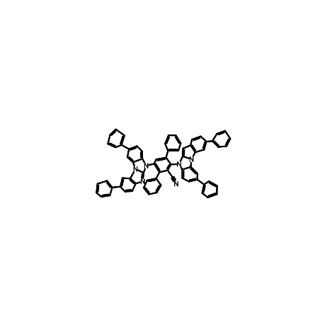 N#Cc1c(-c2ccccc2)c(-n2c3ccc(-c4ccccc4)cc3n3c4cc(-c5ccccc5)ccc4nc23)cc(-c2ccccc2)c1-n1c2ccc(-c3ccccc3)cc2n2c3cc(-c4ccccc4)ccc3cc12